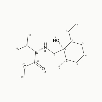 CCC1CCC[C@H](C)[C@@]1(O)CN[C@H](C(=O)OC)C(C)C